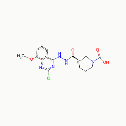 COc1cccc2c(NNC(=O)[C@@H]3CCCN(C(=O)O)C3)nc(Cl)nc12